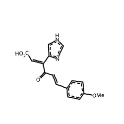 COc1ccc(/C=C/C(=O)C(=CC(=O)O)c2c[nH]cn2)cc1